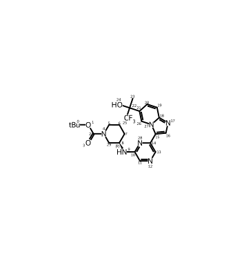 CC(C)(C)OC(=O)N1CCC[C@@H](Nc2cncc(-c3cnc4ccc(C(C)(O)C(F)(F)F)cn34)n2)C1